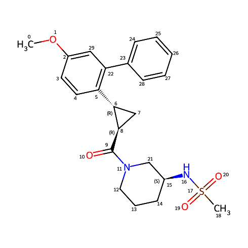 COc1ccc([C@@H]2C[C@H]2C(=O)N2CCC[C@H](NS(C)(=O)=O)C2)c(-c2ccccc2)c1